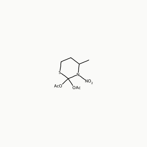 CC(=O)OC1(OC(C)=O)SCCC(C)N1[N+](=O)[O-]